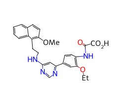 CCOc1cc(-c2cc(NCCc3c(OC)ccc4ccccc34)ncn2)ccc1NC(=O)C(=O)O